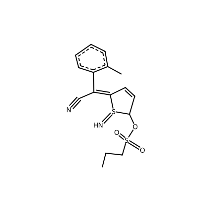 CCCS(=O)(=O)OC1C=CC(=C(C#N)c2ccccc2C)S1=N